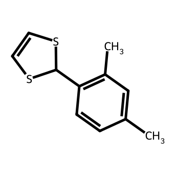 Cc1ccc(C2SC=CS2)c(C)c1